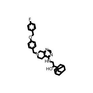 OC(CNc1ncnc2c1CCN(Cc1ccc(OCc3ccc(F)cc3)cc1)C2)C12CC3CC(CC(C3)C1)C2